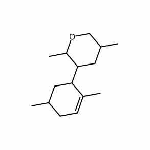 CC1=CCC(C)CC1C1CC(C)COC1C